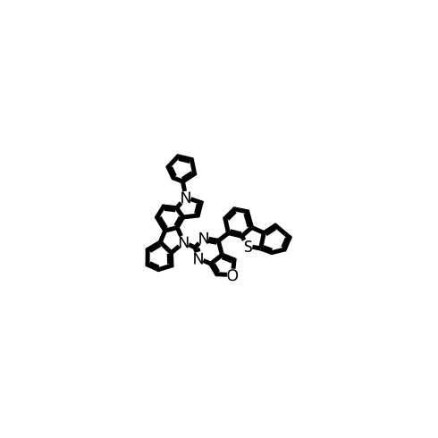 c1ccc(-n2ccc3c2ccc2c4ccccc4n(-c4nc(-c5cccc6c5sc5ccccc56)c5cocc5n4)c23)cc1